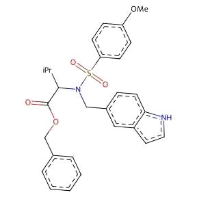 COc1ccc(S(=O)(=O)N(Cc2ccc3[nH]ccc3c2)C(C(=O)OCc2ccccc2)C(C)C)cc1